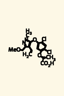 C=Cc1c(COC)nn(C)c1Oc1cc(O[C@@H](C)C(=O)O)c(Cl)cc1Cl